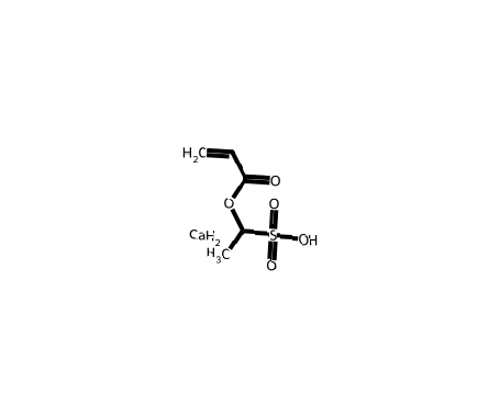 C=CC(=O)OC(C)S(=O)(=O)O.[CaH2]